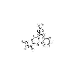 CON(C)C(=O)C1CCN(C(=O)OC(C)(C)C)C(c2ccccc2)C1